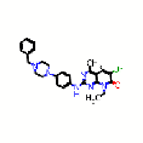 CCn1c(=O)c(Br)cc2c(C)nc(Nc3ccc(N4CCN(Cc5ccccc5)CC4)cc3)nc21